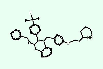 FC(F)(F)c1ccc(N2C(OCc3ccccc3)Cc3ccccc3C2Cc2ccc(OCCC3CCCCN3)cc2)cc1